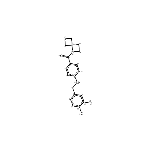 O=C(c1cnc(NCc2ccc(Cl)c(Cl)c2)nc1)N1CCC12COC2